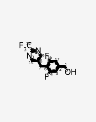 OCc1cc(F)c(Cc2cnc(C(F)(F)F)nc2)c(F)c1